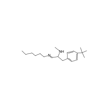 CCCCCCN=CC(Cc1ccc(C(C)(C)C)cc1)NC